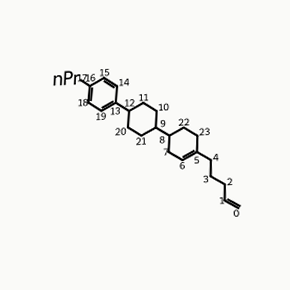 C=CCCCC1=CCC(C2CCC(c3ccc(CCC)cc3)CC2)CC1